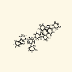 c1ccc(-c2nc(-c3ccc4c(c3)c3ccccc3n4-c3cccc4oc5c(-c6ccccc6)cccc5c34)nc(-c3cccc4c3oc3ccccc34)n2)cc1